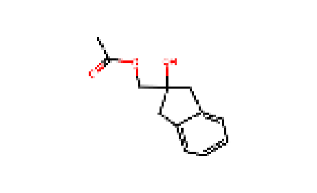 CC(=O)OCC1(O)Cc2ccccc2C1